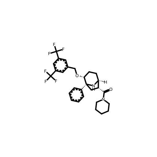 O=C([C@@H]1C[C@]2(c3ccccc3)N[C@H]1CC[C@H]2OCc1cc(C(F)(F)F)cc(C(F)(F)F)c1)N1CCCCC1